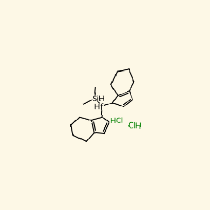 C[SiH](C)[Hf]([CH]1C=CC2=C1CCCC2)[CH]1C=CC2=C1CCCC2.Cl.Cl